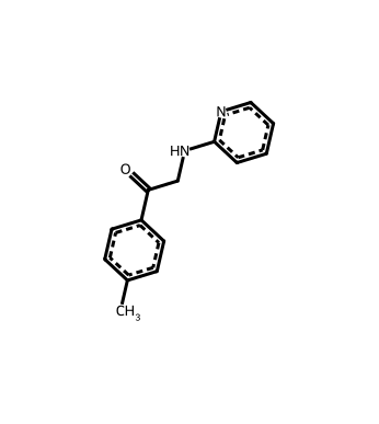 Cc1ccc(C(=O)CNc2ccccn2)cc1